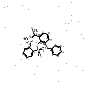 Cc1ccccc1S(=O)(=O)Oc1c(Oc2ccccc2)cccc1C(C)C(=O)O